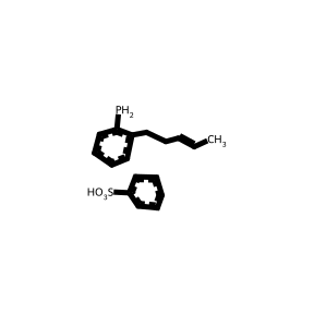 CC=CCCc1ccccc1P.O=S(=O)(O)c1ccccc1